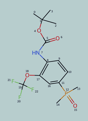 CC(C)(C)OC(=O)Nc1ccc(P(C)(C)=O)cc1OC(F)(F)F